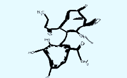 CC(=O)C1=CC(=O)C(=O)C(O)=C1c1c(C(C)=O)cc(O)c(O)c1O